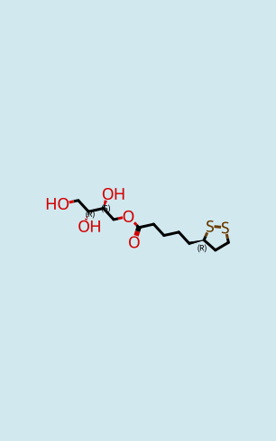 O=C(CCCC[C@@H]1CCSS1)OC[C@H](O)[C@H](O)CO